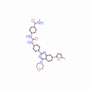 CNC(=O)c1ccc(NC(=O)Nc2ccc(-c3nc(N4CCOCC4)c4ccc(-c5ccc(C)o5)cc4n3)cc2)cc1